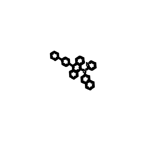 c1ccc(-c2ccc(-c3c4ccccc4c(N(c4ccc5ccccc5c4)c4ccccn4)c4ccccc34)cc2)cc1